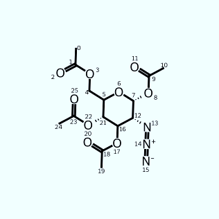 CC(=O)OCC1O[C@H](OC(C)=O)[C@H](N=[N+]=[N-])C(OC(C)=O)[C@@H]1OC(C)=O